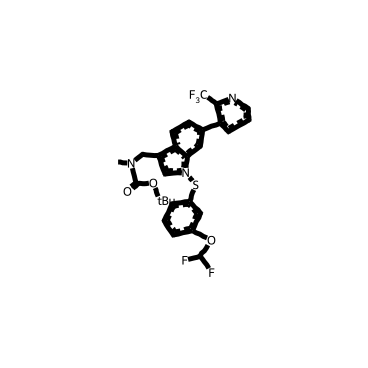 CN(Cc1cn(Sc2cccc(OC(F)F)c2)c2cc(-c3cccnc3C(F)(F)F)ccc12)C(=O)OC(C)(C)C